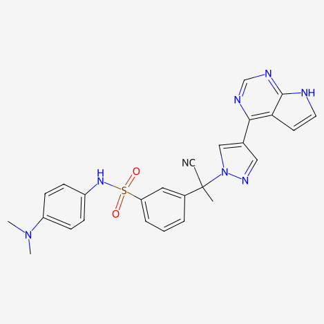 CN(C)c1ccc(NS(=O)(=O)c2cccc(C(C)(C#N)n3cc(-c4ncnc5[nH]ccc45)cn3)c2)cc1